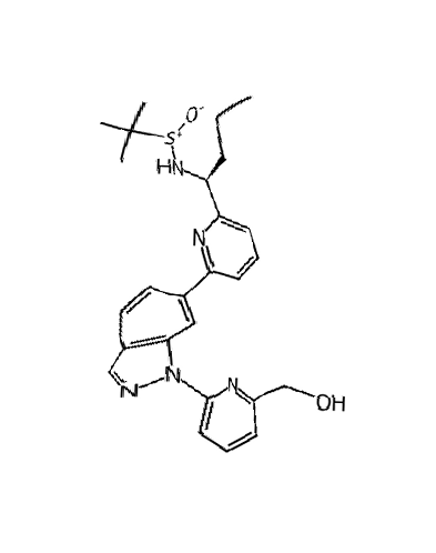 CCC[C@H](N[S+]([O-])C(C)(C)C)c1cccc(-c2ccc3cnn(-c4cccc(CO)n4)c3c2)n1